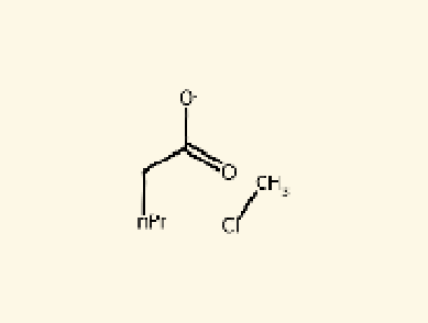 CCCCC([O])=O.CCl